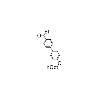 CCCCCCCCOc1ccc(-c2ccc(C(=O)CC)cc2)cc1